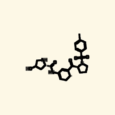 Cc1ccc(S(=O)(=O)N2CCC[C@H]2C(=O)C2=CC(NC(=O)[C@@H]3CC(O)CN3)=CC[CH]2)cc1